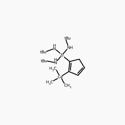 CC(C)(C)[NH][Zr]([NH]C(C)(C)C)([NH]C(C)(C)C)[C]1=[C]([Ge]([CH3])([CH3])[CH3])C=CC1